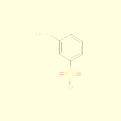 CCOC(=O)c1cccc(S(=O)(=O)CC)c1